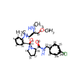 CN/C(=C\N(C)c1ccccc1C(=O)N1CCC[C@H]1C(=O)NCc1ccc(Cl)cc1)COC